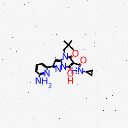 CC(C)(C)Cn1c(=O)c(C(=O)NC2CC2)c(O)n2nc(-c3cccc(N)n3)cc12